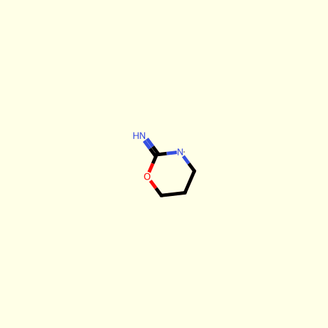 N=C1[N]CCCO1